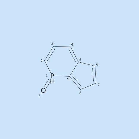 O=[PH]1C=CC=C2C=CC=C21